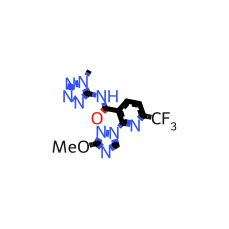 COc1ncn(-c2nc(C(F)(F)F)ccc2C(=O)Nc2nnnn2C)n1